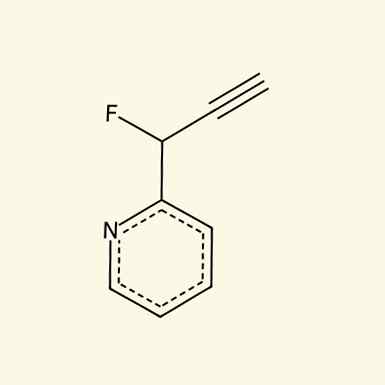 C#CC(F)c1ccccn1